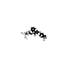 CC(C)(C)OC(=O)CN1C(=O)C2(CC(Oc3cnc4[nH]ncc4c3)C2)c2ccccc21